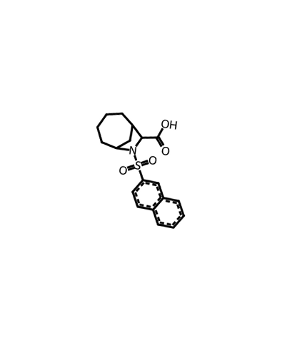 O=C(O)C1C2CCCCC(C2)N1S(=O)(=O)c1ccc2ccccc2c1